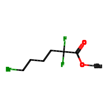 CC(C)(C)OC(=O)C(F)(F)CCCCBr